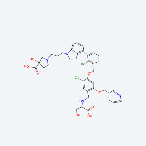 O=C(O)C(CO)NCc1cc(Cl)c(OCc2cccc(-c3cccc4c3CCN4CCCN3CCC(O)(C(=O)O)C3)c2Br)cc1OCc1cccnc1